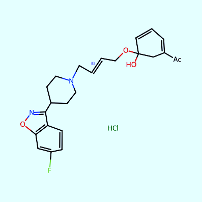 CC(=O)C1=CC=CC(O)(OC/C=C/CN2CCC(c3noc4cc(F)ccc34)CC2)C1.Cl